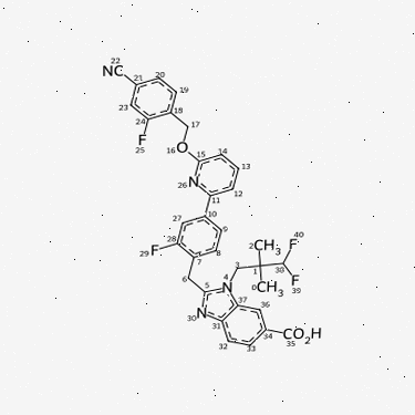 CC(C)(Cn1c(Cc2ccc(-c3cccc(OCc4ccc(C#N)cc4F)n3)cc2F)nc2ccc(C(=O)O)cc21)C(F)F